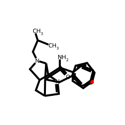 CC(C)CN1CC2CC3C=NC2(C(N)=O)C1C3(Cc1ccccc1)Cc1ccccc1